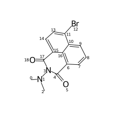 CN(C)N1C(=O)c2cccc3c(Br)ccc(c23)C1=O